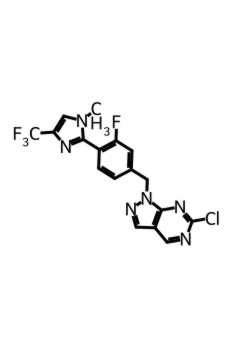 Cn1cc(C(F)(F)F)nc1-c1ccc(Cn2ncc3cnc(Cl)nc32)cc1F